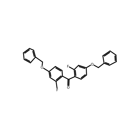 O=C(c1ccc(OCc2ccccc2)cc1F)c1ccc(OCc2ccccc2)cc1F